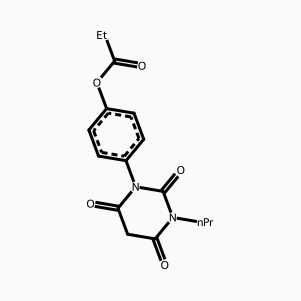 CCCN1C(=O)CC(=O)N(c2ccc(OC(=O)CC)cc2)C1=O